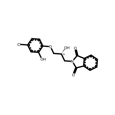 O=C1c2ccccc2C(=O)N1C[C@@H](O)COc1ccc(Cl)cc1O